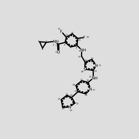 O=C(NC1CC1)c1cc(NCc2cnc(Nc3ccc(-c4cccnc4)cn3)s2)c(F)cc1F